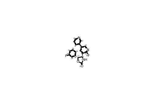 O=C1N[C@H](c2cc(-c3cccnc3)cnc2F)[C@@H](c2cccc(F)c2)O1